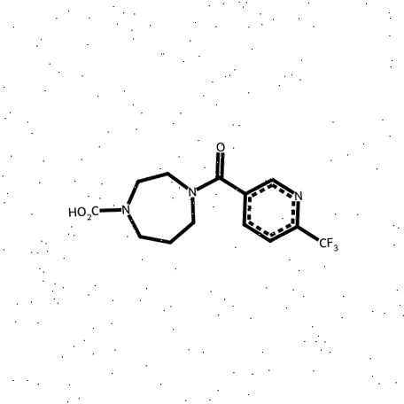 O=C(O)N1CCCN(C(=O)c2ccc(C(F)(F)F)nc2)CC1